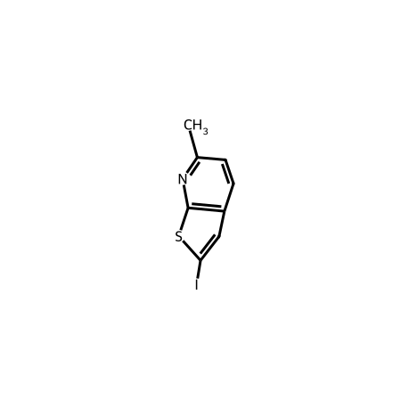 Cc1ccc2cc(I)sc2n1